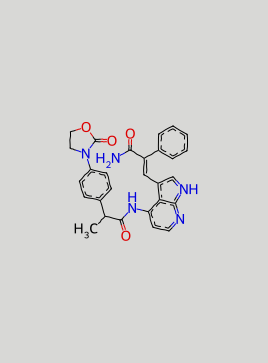 CC(C(=O)Nc1ccnc2[nH]cc(/C=C(/C(N)=O)c3ccccc3)c12)c1ccc(N2CCOC2=O)cc1